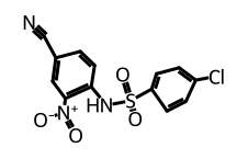 N#Cc1ccc(NS(=O)(=O)c2ccc(Cl)cc2)c([N+](=O)[O-])c1